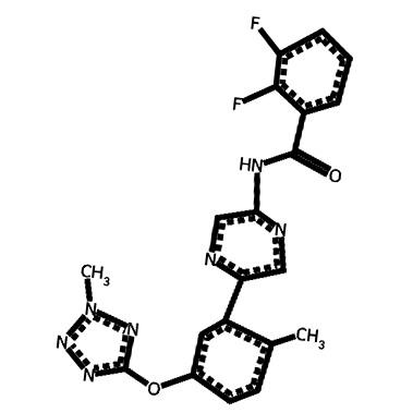 Cc1ccc(Oc2nnn(C)n2)cc1-c1cnc(NC(=O)c2cccc(F)c2F)cn1